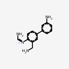 N/C=N\c1ccc(-c2cccc(N)c2)cc1CN